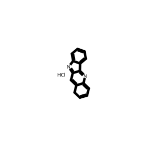 C1=CCc2cc3c(nc2=C1)-c1ccccc1N=3.Cl